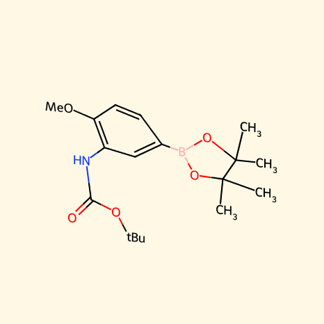 COc1ccc(B2OC(C)(C)C(C)(C)O2)cc1NC(=O)OC(C)(C)C